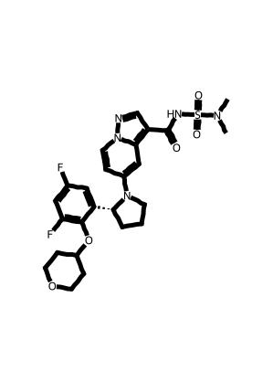 CN(C)S(=O)(=O)NC(=O)c1cnn2ccc(N3CCC[C@@H]3c3cc(F)cc(F)c3OC3CCOCC3)cc12